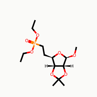 CCOP(=O)(CC[C@H]1O[C@@H](OC)[C@@H]2OC(C)(C)O[C@@H]21)OCC